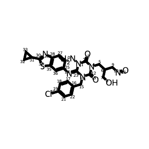 Nn1c(=O)n(CC(CO)CN=O)c(=O)n(Cc2ccc(Cl)cc2)/c1=N/c1ccc2nc(C3CC3)sc2c1